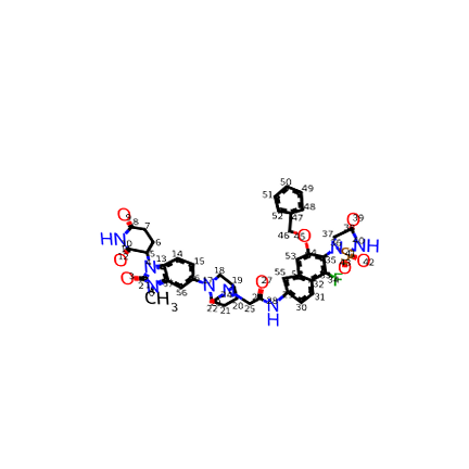 Cn1c(=O)n(C2CCC(=O)NC2=O)c2ccc(N3CC4CCC3CN4CC(=O)Nc3ccc4c(F)c(N5CC(=O)NS5(=O)=O)c(OCc5ccccc5)cc4c3)cc21